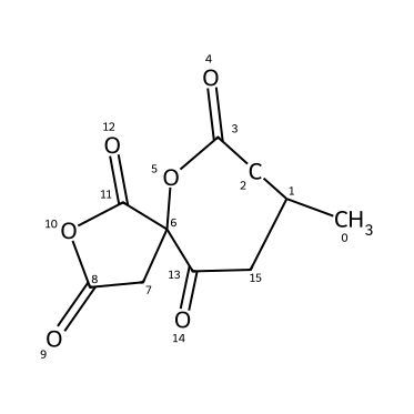 CC1CC(=O)OC2(CC(=O)OC2=O)C(=O)C1